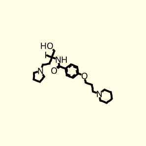 O=C(NC(I)(CO)CCN1CCCC1)c1ccc(OCCCN2CCCCC2)cc1